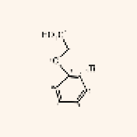 O=C(O)COc1ccccc1.[Ti]